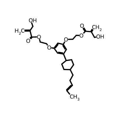 C=C(CO)C(=O)OCCOc1cc(OCCOC(=O)C(=C)CO)cc(C2CCC(CC/C=C/C)CC2)c1